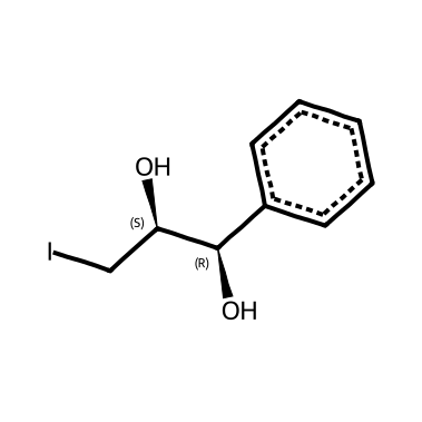 O[C@H](CI)[C@H](O)c1ccccc1